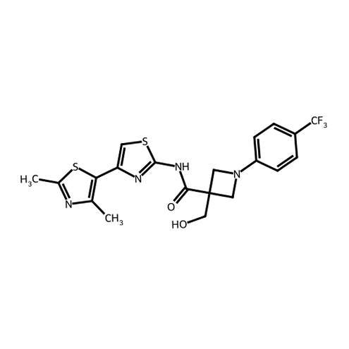 Cc1nc(C)c(-c2csc(NC(=O)C3(CO)CN(c4ccc(C(F)(F)F)cc4)C3)n2)s1